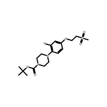 CC(C)(C)OC(=O)N1CCN(c2ccc(OCCS(C)(=O)=O)cc2F)CC1